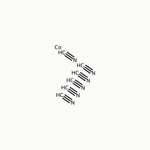 C#N.C#N.C#N.C#N.C#N.C#N.[Co]